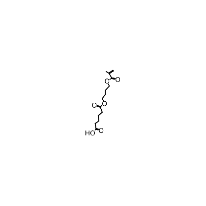 C=C(C)C(=O)OCCCCOC(=O)CCCCC(=O)O